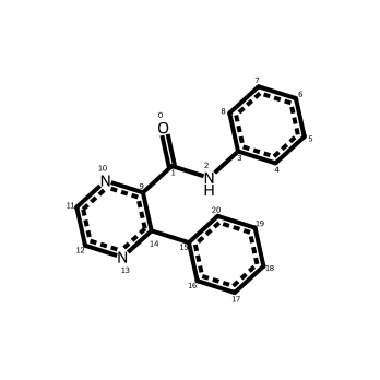 O=C(Nc1ccccc1)c1nccnc1-c1ccccc1